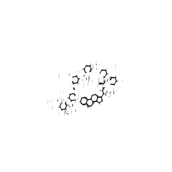 C[C@H](CC[C@@H](O[C@@H]1O[C@H](CO[C@@H]2O[C@H](CO)[C@@H](O)[C@H](O)[C@H]2O)[C@@H](O)[C@H](O)[C@H]1O[C@H]1O[C@@H](CO)[C@H](O)[C@@H](O)[C@@H]1O)C(C)(C)O)C1CC[C@@]2(C)C3CC=C4C(CC[C@H](O[C@@H]5O[C@H](CO[C@@H]6O[C@H](CO)[C@@H](O)[C@H](O)[C@H]6O)[C@@H](O)[C@H](O)[C@H]5O[C@H]5O[C@@H](CO)[C@H](O)[C@@H](O)[C@@H]5O)C4(C)C)[C@]3(C)CC[C@]12C